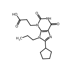 CCCn1c(C2CCCC2)nc2c(=O)[nH]c(=O)n(CCC(=O)O)c21